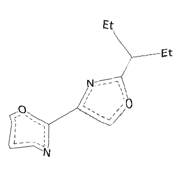 CCC(CC)c1nc(-c2ncco2)co1